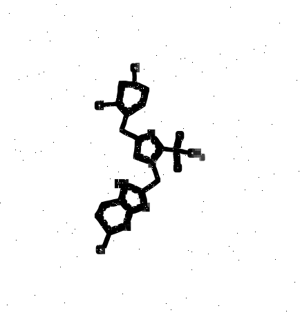 CS(=O)(=O)c1nc(Cc2ccc(Cl)cc2Cl)cn1Cc1nc2nc(Cl)ccc2[nH]1